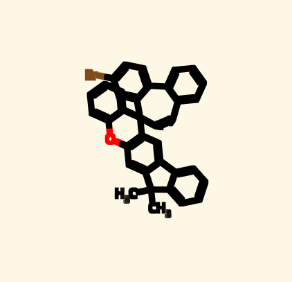 CC1(C)c2ccccc2-c2cc3c(cc21)Oc1ccccc1C31c2ccccc2-c2ccccc2-c2ccc(Br)cc21